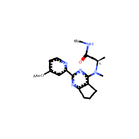 COc1ccnc(-c2nc3c(c(N(C)[C@H](C)C(=O)NC(C)(C)C)n2)CCC3)c1